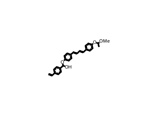 C=Cc1ccc(C(O)Oc2ccc(C=CC=Cc3ccc(OC(C)OC)cc3)cc2)cc1